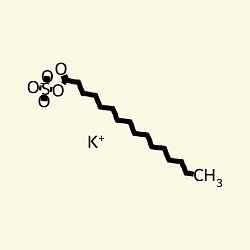 CCCCCCCCCCCCCCCC(=O)OS(=O)(=O)[O-].[K+]